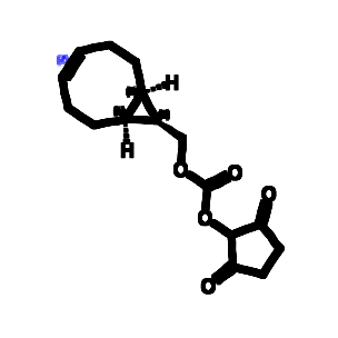 O=C(OC[C@@H]1[C@@H]2CC/C=C\CC[C@@H]21)OC1C(=O)CCC1=O